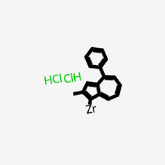 Cc1cc2c(-c3ccccc3)ccccc-2[c]1[Zr].Cl.Cl